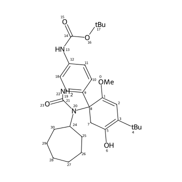 COC1=CC(C(C)(C)C)=C(O)CC1(c1ccc(NC(=O)OC(C)(C)C)cc1)N(C(N)=O)C1CCCCCC1